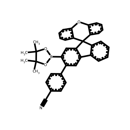 CC1(C)OB(c2cc3c(cc2-c2ccc(C#N)cc2)-c2ccccc2C32c3ccccc3Oc3ccccc32)OC1(C)C